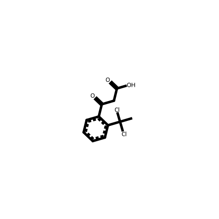 CC(Cl)(Cl)c1ccccc1C(=O)CC(=O)O